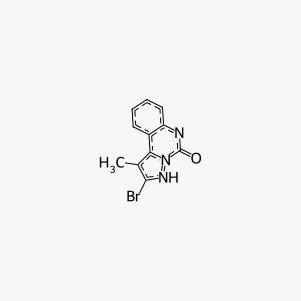 Cc1c(Br)[nH]n2c(=O)nc3ccccc3c12